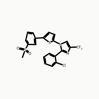 CS(=O)(=O)c1cccc(-c2ccc(-n3cc(C(F)(F)F)nc3-c3ccccc3Cl)s2)c1